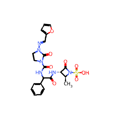 C[C@H]1[C@H](NC(=O)C(NC(=O)N2CCN(N=Cc3ccco3)C2=O)c2ccccc2)C(=O)N1S(=O)(=O)O